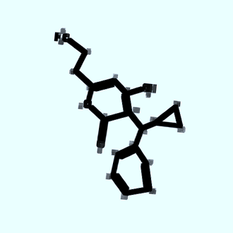 O=c1oc(CCC(F)(F)F)cc(O)c1C(c1ccccc1)C1CC1